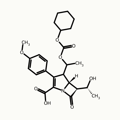 COc1ccc(C2=C(C(=O)O)N3C(=O)[C@H]([C@@H](C)O)[C@H]3C2C(C)OC(=O)OC2CCCCC2)cc1